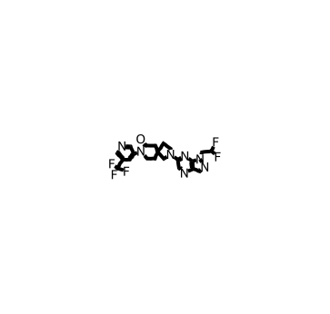 O=C1CC2(CCN(c3cnc4cnn(CC(F)F)c4n3)C2)CCN1c1cncc(C(F)(F)F)c1